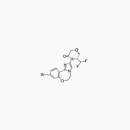 O=C1COCC(C(F)F)N1c1cn2c(n1)-c1ccc(Br)cc1OCC2